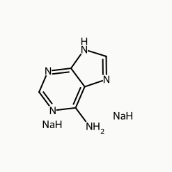 Nc1ncnc2[nH]cnc12.[NaH].[NaH]